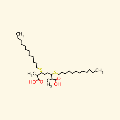 CCCCCCCCCCCCSC(CCC(SCCCCCCCCCCCC)C(C)C(=O)O)C(C)C(=O)O